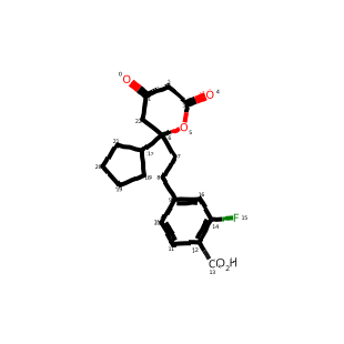 O=C1CC(=O)OC(CCc2ccc(C(=O)O)c(F)c2)(C2CCCC2)C1